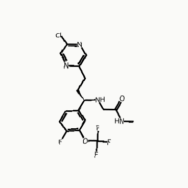 CNC(=O)CN[C@H](CCc1cnc(Cl)cn1)c1ccc(F)c(OC(F)(F)F)c1